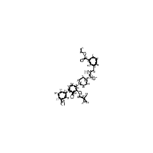 CCOC(=O)c1cccc(CN[S+]([O-])N2CCN(c3cnn(-c4cccc(Cl)c4)c(=O)c3OCC3(C)CC3)CC2)c1